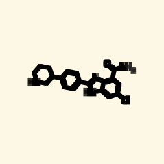 NC(=O)c1cc(Cl)cc2[nH]c(-c3ccc(C4CCCNC4)cc3)nc12